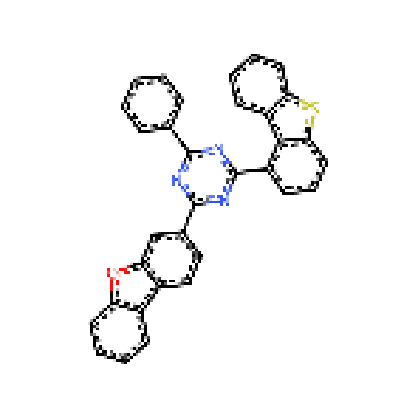 c1ccc(-c2nc(-c3ccc4c(c3)oc3ccccc34)nc(-c3cccc4sc5ccccc5c34)n2)cc1